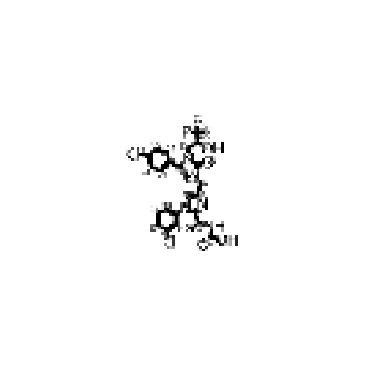 CC(NC(=O)O)c1nc(Cn2nc(-c3ccc(Cl)cc3)n(CC(O)C(F)(F)F)c2=O)nn1-c1cccc(Cl)c1